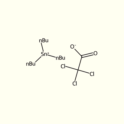 CCC[CH2][Sn+]([CH2]CCC)[CH2]CCC.O=C([O-])C(Cl)(Cl)Cl